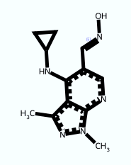 Cc1nn(C)c2ncc(/C=N/O)c(NC3CC3)c12